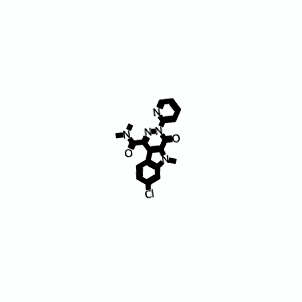 CN(C)C(=O)c1nn(-c2ccccn2)c(=O)c2c1c1ccc(Cl)cc1n2C